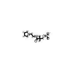 CC(C)(CO[N+](=O)[O-])C(=O)NCCN1CCCC1